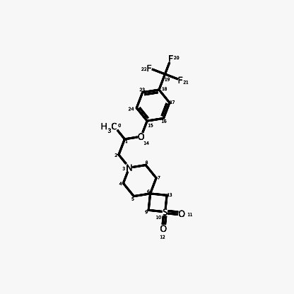 CC(CN1CCC2(CC1)CS(=O)(=O)C2)Oc1ccc(C(F)(F)F)cc1